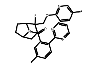 Cc1ccc(-c2ncccn2)c(C(=O)N2C3CCC2C(F)(COc2ccc(F)cn2)CC3)c1